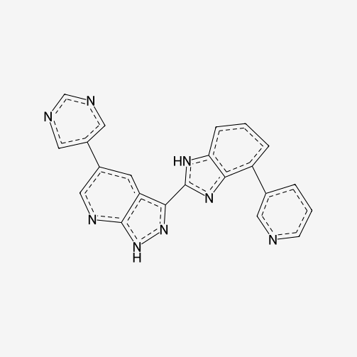 c1cncc(-c2cccc3[nH]c(-c4n[nH]c5ncc(-c6cncnc6)cc45)nc23)c1